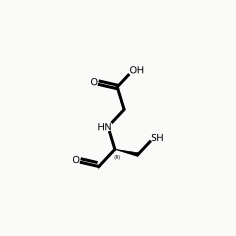 O=[C][C@H](CS)NCC(=O)O